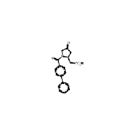 O=C(O)CC1CC(=O)CN1C(=O)c1ccc(-c2ccccc2)cc1